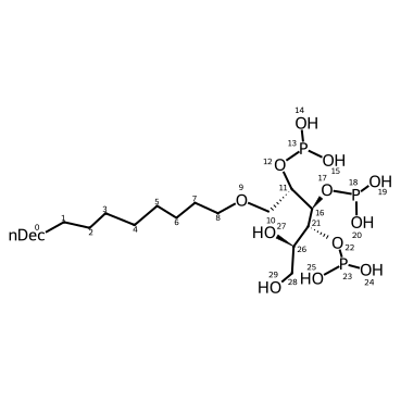 CCCCCCCCCCCCCCCCCCOC[C@H](OP(O)O)[C@@H](OP(O)O)[C@H](OP(O)O)[C@H](O)CO